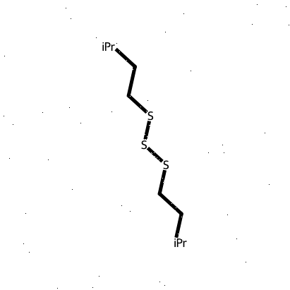 CC(C)CCSSSCCC(C)C